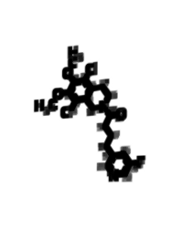 COc1c(Cl)c2c(c(Cl)c1OC)CN(C(=O)CCCc1cncc(F)c1)CC2